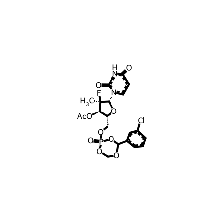 CC(=O)O[C@@H]1[C@@H](COP2(=O)OCOC(c3cccc(Cl)c3)O2)O[C@@H](n2ccc(=O)[nH]c2=O)[C@]1(C)F